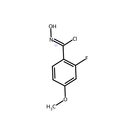 COc1ccc(/C(Cl)=N/O)c(F)c1